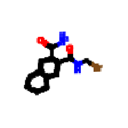 NC(=O)c1cc2ccccc2cc1C(=O)NCBr